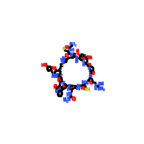 C[C@@H](O)[C@@H]1NC(=O)[C@@H](NC(=O)[C@H](C=S)NC(=O)CN)Cc2cn(nn2)CCC[C@]2(C=C(O)[C@@H](Cc3ccc(O)cc3)NC2=O)NC(=O)[C@H](CCC(N)=O)NC(=O)[C@H](Cc2c[nH]c3ccccc23)NC(=O)[C@H](CCCNC(N)=O)NC(=O)[C@H](CS)NC(=O)[C@H](CCCNC(=N)N)NC(=O)C2CCCN2C(=O)[C@H](CC(=O)O)NC1=O